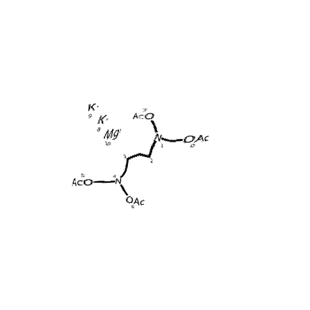 CC(=O)ON(CCN(OC(C)=O)OC(C)=O)OC(C)=O.[K].[K].[Mg]